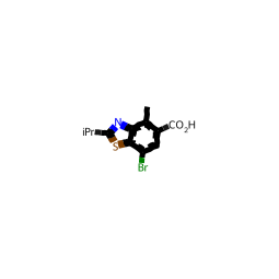 Cc1c(C(=O)O)cc(Br)c2sc(C(C)C)nc12